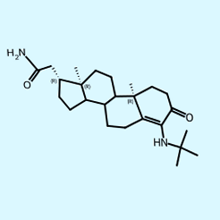 CC(C)(C)NC1=C2CCC3C(CC[C@@]4(C)C3CC[C@@H]4CC(N)=O)[C@@]2(C)CCC1=O